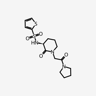 O=C(CN1CCC[C@H](NS(=O)(=O)c2cccs2)C1=O)N1CCCC1